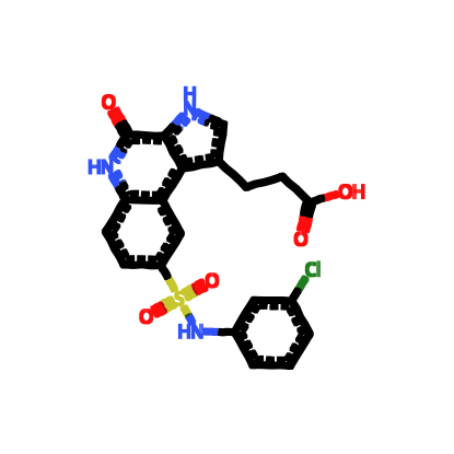 O=C(O)CCc1c[nH]c2c(=O)[nH]c3ccc(S(=O)(=O)Nc4cccc(Cl)c4)cc3c12